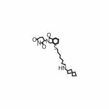 CN1C(=O)CCC(N2Cc3c(SCCCCCCCNC4CC5(CCC5)C4)cccc3C2=O)C1=O